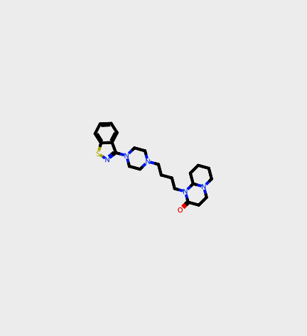 O=C1CCN2CCCCC2N1CCCCN1CCN(c2nsc3ccccc23)CC1